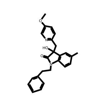 COc1ccc(CC2(O)C(=O)N(CCc3ccccc3)c3ccc(C)cc32)nc1